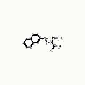 CN[C@@H](CNc1ccc2ccccc2c1)C(=O)O